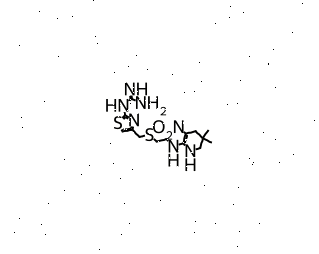 CC1(C)CNC(NCCSCc2csc(NC(=N)N)n2)=C([N+](=O)[O-])C1